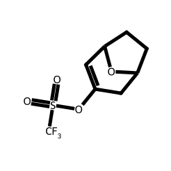 O=S(=O)(OC1=CC2CCC(C1)O2)C(F)(F)F